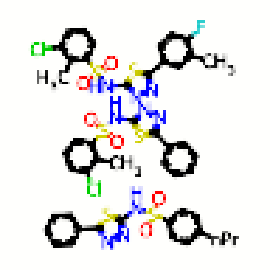 CCCc1ccc(S(=O)(=O)Nc2nnc(-c3ccccc3)s2)cc1.Cc1c(Cl)cccc1S(=O)(=O)Nc1nnc(-c2ccccc2)s1.Cc1cc(-c2nnc(NS(=O)(=O)c3cccc(Cl)c3C)s2)ccc1F